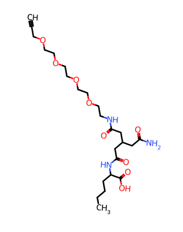 C#CCOCCOCCOCCOCCNC(=O)CC(CC(N)=O)CC(=O)NC(CCCC)C(=O)O